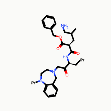 CC(C)C[C@H](NC(=O)[C@H](CC(C)CN)C(=O)OCc1ccccc1)C(=O)CN1CCN(C(C)C)c2ccccc2C1